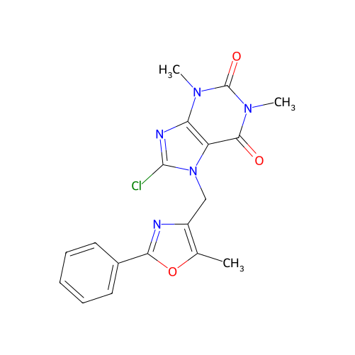 Cc1oc(-c2ccccc2)nc1Cn1c(Cl)nc2c1c(=O)n(C)c(=O)n2C